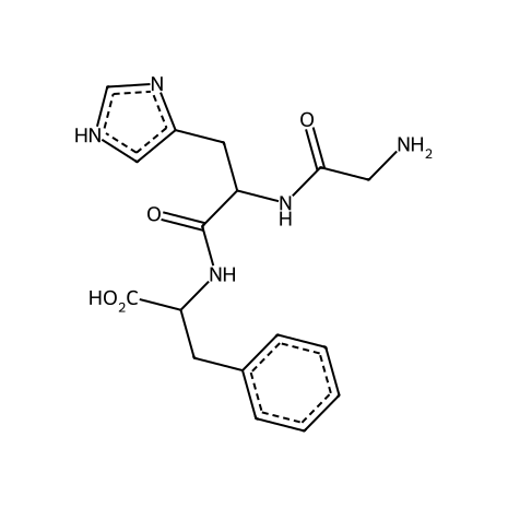 NCC(=O)NC(Cc1c[nH]cn1)C(=O)NC(Cc1ccccc1)C(=O)O